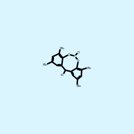 CCC1c2cc(C(C)(C)C)cc(C(C)(C)C)c2OP(Cl)Oc2c1cc(C(C)(C)C)cc2C(C)(C)C